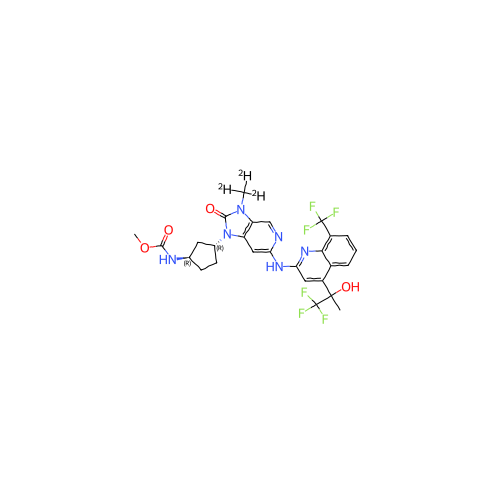 [2H]C([2H])([2H])n1c(=O)n([C@@H]2CC[C@@H](NC(=O)OC)C2)c2cc(Nc3cc(C(C)(O)C(F)(F)F)c4cccc(C(F)(F)F)c4n3)ncc21